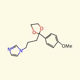 COc1ccc(C2(CCCn3ccnc3)OCCO2)cc1